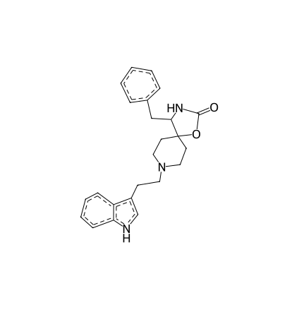 O=C1NC(Cc2ccccc2)C2(CCN(CCc3c[nH]c4ccccc34)CC2)O1